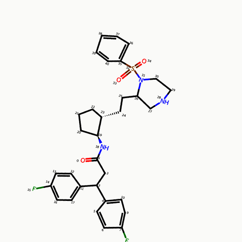 O=C(CC(c1ccc(F)cc1)c1ccc(F)cc1)N[C@H]1CCC[C@@H]1CCC1CNCCN1S(=O)(=O)c1ccccc1